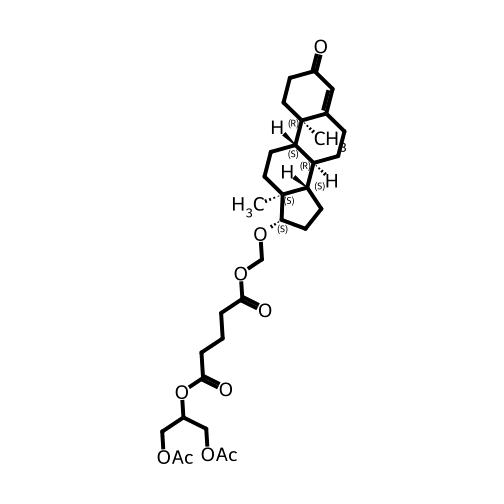 CC(=O)OCC(COC(C)=O)OC(=O)CCCC(=O)OCO[C@H]1CC[C@H]2[C@@H]3CCC4=CC(=O)CC[C@]4(C)[C@H]3CC[C@]12C